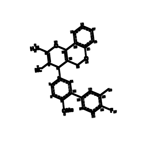 COc1ccc(C2C(C#N)=C(N)OC3=C2COc2ccccc23)cc1-c1cnc(F)c(C)c1